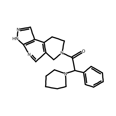 O=C(C(c1ccccc1)N1CCCCC1)N1CCc2c(cnc3[nH]ncc23)C1